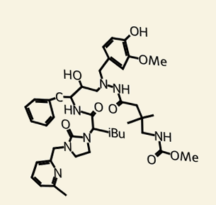 CCC(C)C(C(=O)NC(Cc1ccccc1)C(O)CN(Cc1ccc(O)c(OC)c1)NC(=O)CC(C)(C)CNC(=O)OC)N1CCN(Cc2cccc(C)n2)C1=O